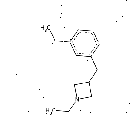 CCc1cccc(CC2CN(CC)C2)c1